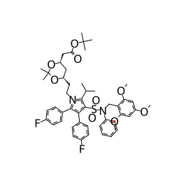 COc1cc(OC)c(CN(c2ccccc2)S(=O)(=O)c2c(-c3ccc(F)cc3)c(-c3ccc(F)cc3)n(CC[C@@H]3C[C@H](CC(=O)OC(C)(C)C)OC(C)(C)O3)c2C(C)C)c(OC)c1